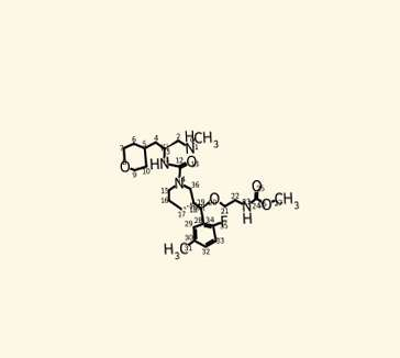 CNC[C@H](CC1CCOCC1)NC(=O)N1CCC[C@@H]([C@@H](OCCNC(=O)OC)c2cc(C)ccc2F)C1